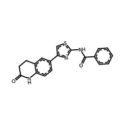 O=C1CCc2cc(-c3csc(NC(=O)c4ccccc4)n3)ccc2N1